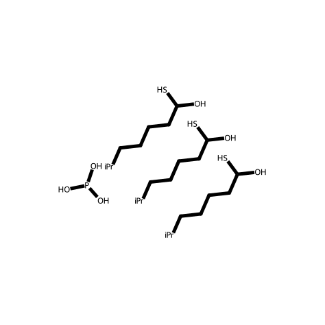 CC(C)CCCCC(O)S.CC(C)CCCCC(O)S.CC(C)CCCCC(O)S.OP(O)O